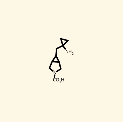 NC1(CC2C3CN(C(=O)O)CC32)CC1